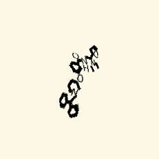 CCN(CC)C(CNC(=O)c1cccc(OC2CCCN(CC(c3ccccc3)c3ccccc3)C2)c1)c1ccco1